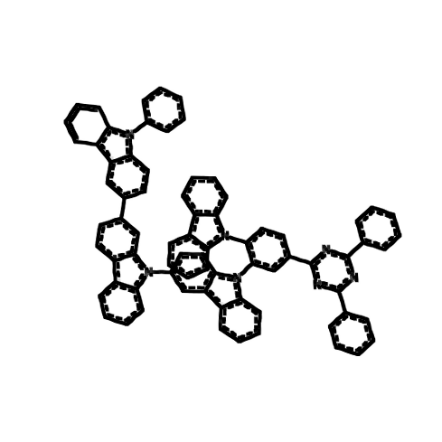 C1=C=Cc2c(c3cc(-c4ccc5c6ccccc6n(-c6ccc7c(c6)c6ccccc6n7-c6cc(-c7nc(-c8ccccc8)nc(-c8ccccc8)n7)ccc6-n6c7ccccc7c7ccccc76)c5c4)ccc3n2-c2ccccc2)C=1